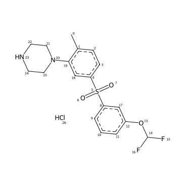 Cc1ccc(S(=O)(=O)c2cccc(OC(F)F)c2)cc1N1CCNCC1.Cl